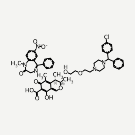 CC1=C2C(=CO[C@H](C)[C@H]2C)C(O)=C(C(=O)O)C1=O.CN1C(=O)CN=C(c2ccccc2)c2cc([N+](=O)[O-])ccc21.OCCOCCN1CCN(C(c2ccccc2)c2ccc(Cl)cc2)CC1